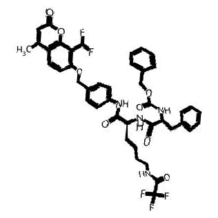 Cc1cc(=O)oc2c(C(F)F)c(OCc3ccc(NC(=O)[C@H](CCCCNC(=O)C(F)(F)F)NC(=O)C(Cc4ccccc4)NC(=O)OCc4ccccc4)cc3)ccc12